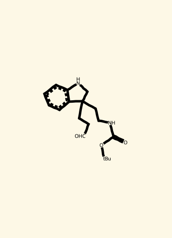 CC(C)(C)OC(=O)NCCC1(CCC=O)CNc2ccccc21